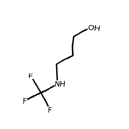 OCCCNC(F)(F)F